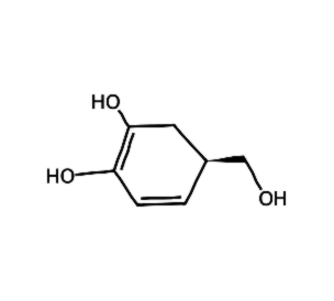 OC[C@H]1C=CC(O)=C(O)C1